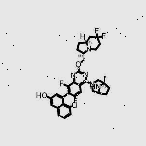 C[C@]12CCC(CN(c3nc(OC[C@@H]4CC[C@H]5CC(F)(F)CCN45)nc4c(F)c(-c5cc(O)cc6cccc(Cl)c56)c(F)cc34)C1)N2